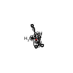 CCC(NC(=O)C1CC2CCCCC2N1C(=O)C(CCS(C)(=O)=O)NC(=O)C(CCCCOCc1ccccc1)NO)P(Oc1ccccc1)Oc1ccccc1